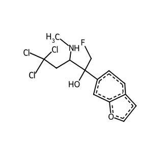 CNC(CC(Cl)(Cl)Cl)C(O)(CF)c1ccc2ccoc2c1